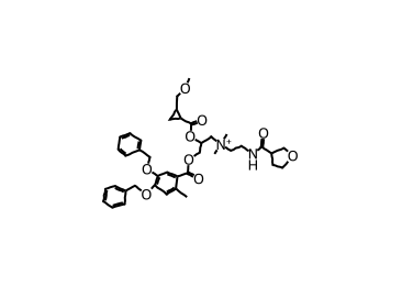 COCC1CC1C(=O)OC(COC(=O)c1cc(OCc2ccccc2)c(OCc2ccccc2)cc1C)C[N+](C)(C)CCNC(=O)C1CCOC1